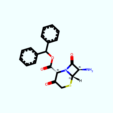 N[C@@H]1C(=O)N2[C@@H](C(=O)OC(c3ccccc3)c3ccccc3)C(=O)CS[C@@H]12